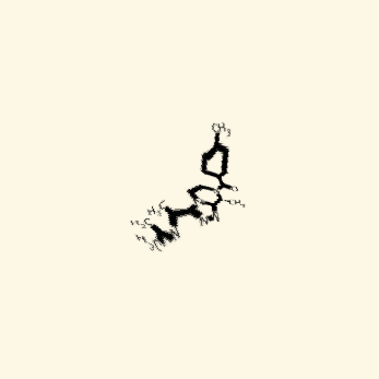 C=C(C)/N=C(\C)c1nnc2n1CCN(C(=O)c1ccc(C)cc1)[C@@H]2C